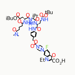 CCn1cc(C(=O)O)c(=O)c2cc(F)c(N3CCN(C(=O)OCc4ccc(NC(=O)[C@H](CCNC(=O)OC(C)(C)C)NC(=O)[C@@H](NC(=O)[C@H](CCC(=O)OCC(C)C)NC(=O)CCCC(=O)N(C)C)C(C)C)cc4)CC3)cc21